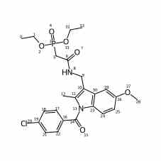 CCOP(=O)(CC(=O)NCc1c(C)n(C(=O)c2ccc(Cl)cc2)c2ccc(OC)cc12)OCC